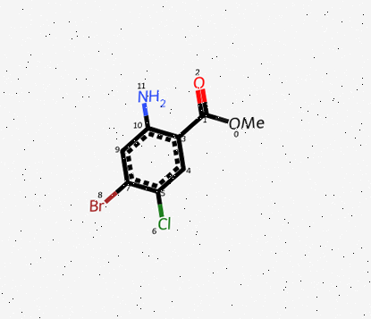 COC(=O)c1cc(Cl)c(Br)cc1N